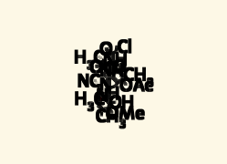 COc1c(C)cc2c(c1O)C1[C@@H]3Cc4c(OC(C)=O)c(C)c5c(c4[C@H](CNC(=O)[C@H](C)NC(=O)CCCl)N3[C@@H](C#N)C(C2)N1C)OCO5